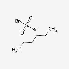 CCCCCC.O=S(=O)(Br)Br